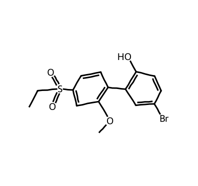 CCS(=O)(=O)c1ccc(-c2cc(Br)ccc2O)c(OC)c1